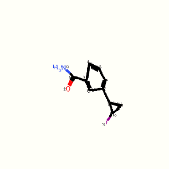 NC(=O)c1cccc(C2CC2I)c1